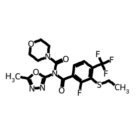 CCSc1c(C(F)(F)F)ccc(C(=O)N(C(=O)N2CCOCC2)c2nnc(C)o2)c1F